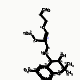 CCCCCCCCO/C(=C\OCCC=O)CNC1c2cc([N+](=O)[O-])ccc2OC(C)(C)C1O